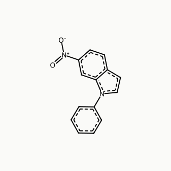 O=[N+]([O-])c1ccc2ccn(-c3ccccc3)c2c1